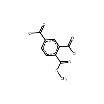 COC(=O)c1ccc(C(=O)Cl)cc1C(=O)Cl